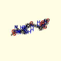 CCS(=O)(=O)N1CC(CC#N)(n2cc(-c3nc(Nc4ccc(C(=O)NCCCCNc5cccc6c5C(=O)N(C5CCC(=O)N(C)C5=O)C6=O)cc4)nc4[nH]ccc34)cn2)C1